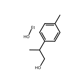 CCO.Cc1ccc(C(C)CO)cc1